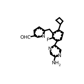 Nc1cnc(-c2ccc(C3CCC3)c(Cc3ccc(C=O)cn3)c2F)cn1